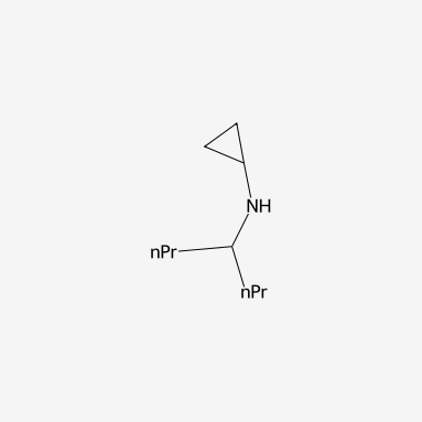 CCCC(CCC)NC1CC1